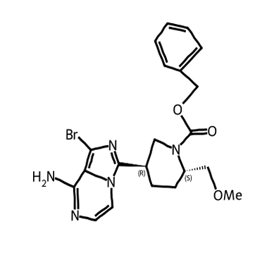 COC[C@@H]1CC[C@@H](c2nc(Br)c3c(N)nccn23)CN1C(=O)OCc1ccccc1